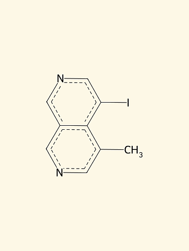 Cc1cncc2cncc(I)c12